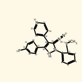 CSc1ccccc1-n1[nH]c(-c2ccc(F)cc2)c(-c2ccncc2)c1=[N+]=[N-]